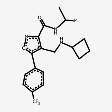 CC(C)C(C)NC(=O)c1noc(-c2ccc(C(F)(F)F)cc2)c1CNC1CCC1